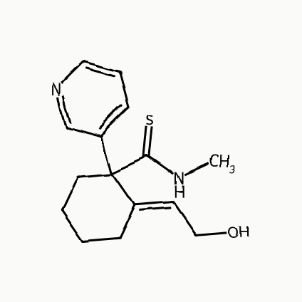 CNC(=S)C1(c2cccnc2)CCCCC1=CCO